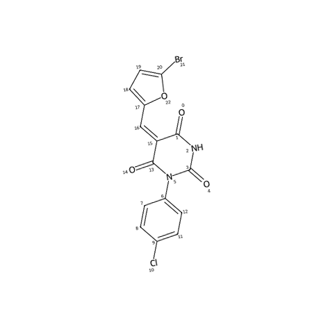 O=C1NC(=O)N(c2ccc(Cl)cc2)C(=O)/C1=C/c1ccc(Br)o1